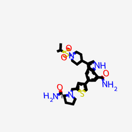 CC(C)S(=O)(=O)N1CCC(c2c[nH]c3c(C(N)=O)cc(-c4csc(CN5CCC[C@@H]5C(N)=O)c4)cc23)CC1